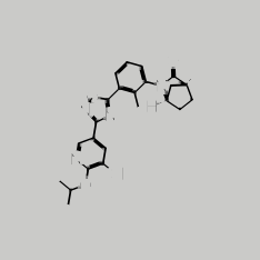 Cc1c(-c2nc(-c3cnc(OC(C)C)c(Cl)c3)no2)cccc1N1C(=O)[C@@H]2CC[C@H]1C2